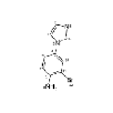 Nc1ccc(-n2ccnc2)cc1Br